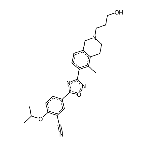 Cc1c(-c2noc(-c3ccc(OC(C)C)c(C#N)c3)n2)ccc2c1CCN(CCCO)C2